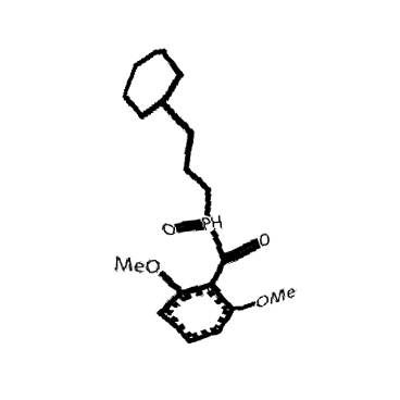 COc1cccc(OC)c1C(=O)[PH](=O)CCCC1CCCCC1